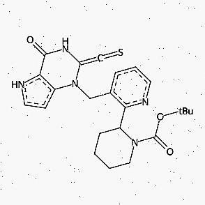 CC(C)(C)OC(=O)N1CCCCC1c1ncccc1CN1C(=C=S)NC(=O)c2[nH]ccc21